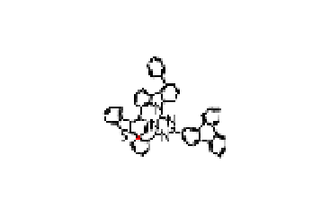 c1ccc(-c2nc(-c3ccc4c5ccccc5c5ccccc5c4c3)nc(-n3c4cccc(-c5ccccc5)c4c4cccc(-c5cccc6sc7ccccc7c56)c43)n2)cc1